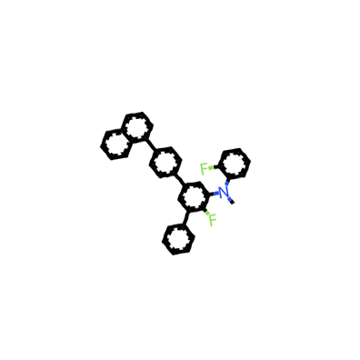 CN(c1ccccc1F)c1cc(-c2ccc(-c3cccc4ccccc34)cc2)cc(-c2ccccc2)c1F